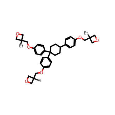 CCC1(COc2ccc(C3CCC(c4ccc(OCC5(CC)COC5)cc4)(c4ccc(OCC5(CC)COC5)cc4)CC3)cc2)COC1